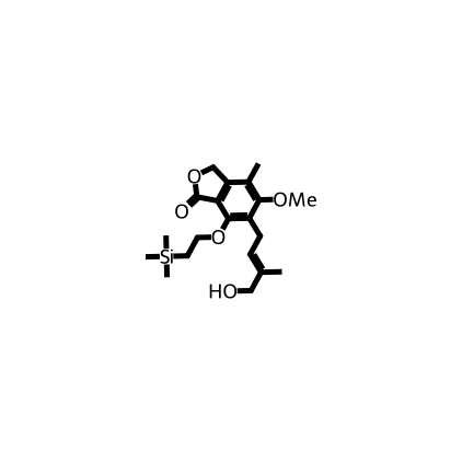 COc1c(C)c2c(c(OCC[Si](C)(C)C)c1C/C=C(\C)CO)C(=O)OC2